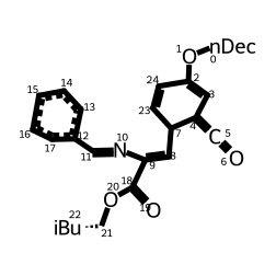 CCCCCCCCCCOC1=CC(=C=O)C(C=C(N=Cc2ccccc2)C(=O)OC[C@@H](C)CC)C=C1